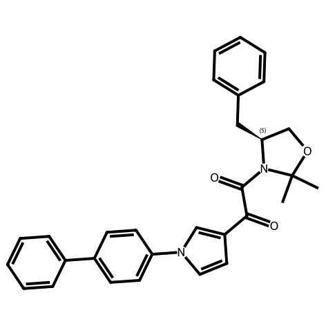 CC1(C)OC[C@H](Cc2ccccc2)N1C(=O)C(=O)c1ccn(-c2ccc(-c3ccccc3)cc2)c1